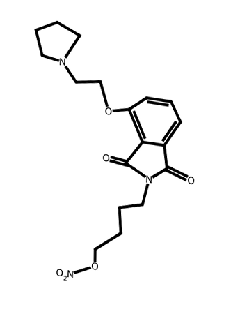 O=C1c2cccc(OCCN3CCCC3)c2C(=O)N1CCCCO[N+](=O)[O-]